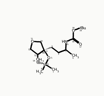 CC(CC[C@@]1(O[Si](C)(C)C(C)(C)C)COCC1O)NC(=O)OC(C)(C)C